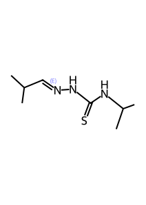 CC(C)/C=N/NC(=S)NC(C)C